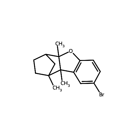 CC12CCC(C1)C1(C)Oc3ccc(Br)cc3C21C